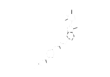 CC(C)(C)OC(=O)N1CCC(CC(=O)NCc2ccc3c(c2)CN(C2CCC(=O)NC2=O)C3=O)CC1